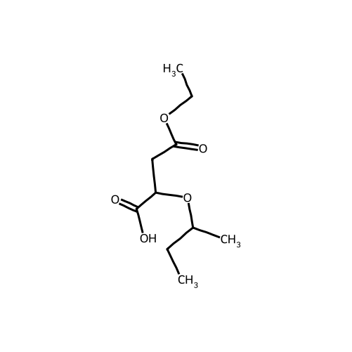 CCOC(=O)CC(OC(C)CC)C(=O)O